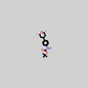 C[C@@H]1CC(c2ccc(NC(=O)OC(C)(C)C)cc2)C[C@H](C)O1